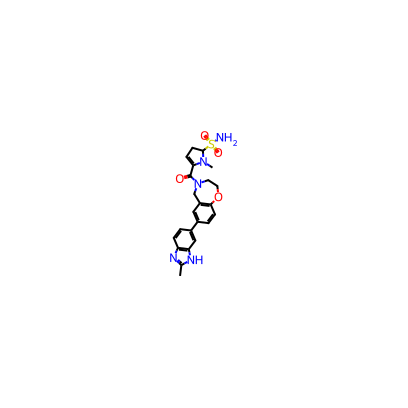 Cc1nc2ccc(-c3ccc4c(c3)CN(C(=O)C3=CCC(S(N)(=O)=O)N3C)CCO4)cc2[nH]1